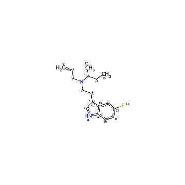 C=CCN(CCc1c[nH]c2ccc(F)cc12)C(C)CC